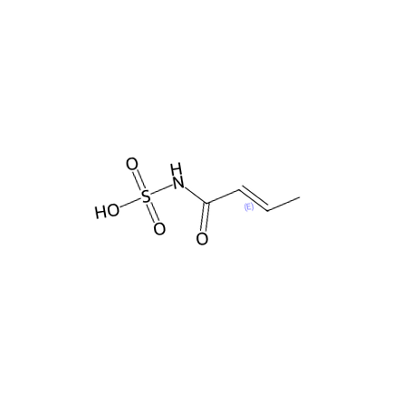 C/C=C/C(=O)NS(=O)(=O)O